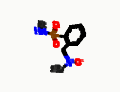 CCNS(=O)(=O)c1ccccc1/C=[N+](\[O-])C(C)(C)C